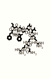 CC[C@H](C)[C@H](NC(=O)[C@@H](N)Cc1ccccc1)C(=O)N[C@@H](C)C(=O)N[C@@H](Cc1c[nH]c2ccccc12)C(=O)N[C@@H](CC(C)C)C(=O)N[C@H](C(=O)N[C@@H](CCCNC(=N)N)C(=O)NCC(=O)N[C@@H](CCCNC(=N)N)C(=O)NCC(N)=O)C(C)C